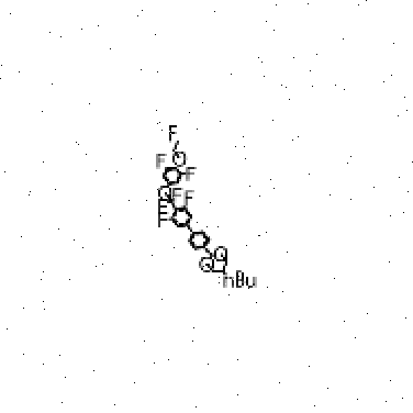 CCCCC1COC(c2ccc(-c3cc(F)c(C(F)(F)Oc4cc(F)c(OCCF)c(F)c4)c(F)c3)cc2)OC1